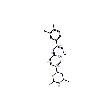 C\C=C(/C=C\C(=N\C(=C/C(C)=O)c1ccc(C)c(CC)c1)C(C)CC)N1CC(C)NC(C)C1